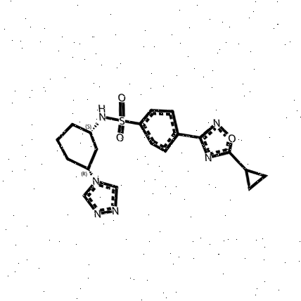 O=S(=O)(N[C@H]1CCC[C@@H](n2cnnc2)C1)c1ccc(-c2noc(C3CC3)n2)cc1